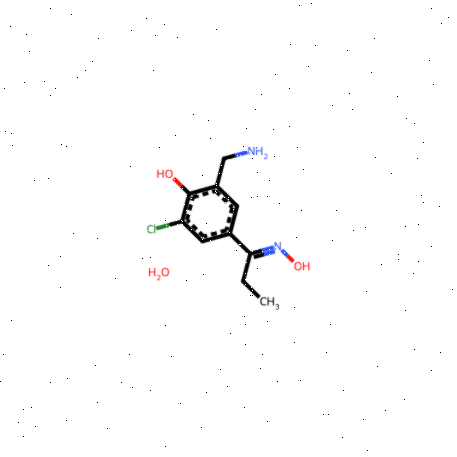 CCC(=NO)c1cc(Cl)c(O)c(CN)c1.O